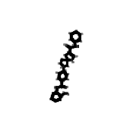 Nc1ccccc1NC(=O)c1ccc(N2CCC3(CC(C(=O)Nc4ccccc4)=NO3)C2)nc1